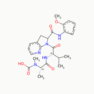 COc1ccccc1NC(=O)C1Cc2cccnc2N1C(=O)[C@@H](NC(=O)[C@H](C)N(C)C(=O)O)C(C)C